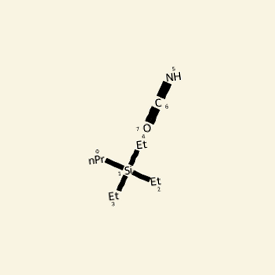 CCC[Si](CC)(CC)CC.N=C=O